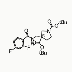 CC(C)(C)OC(=O)N1CC[C@@](CNC(=O)c2ccc(F)cc2F)(C(=O)OC(C)(C)C)C1